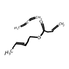 C=C=C.C=CC(=O)OCC=CC